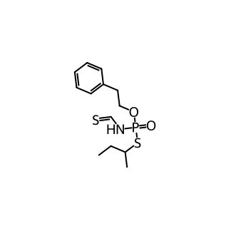 CCC(C)SP(=O)(NC=S)OCCc1ccccc1